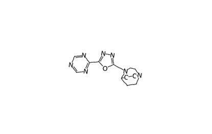 c1ncnc(-c2nnc(N3CCN4CCC3CC4)o2)n1